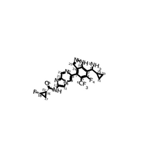 NC(c1c(F)c(C(F)(F)F)c(-c2cn3cc(NC(=O)[C@@H]4C[C@@H]4F)nc3cn2)c2cn[nH]c12)C1CC1